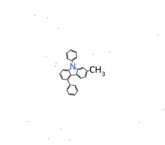 Cc1ccc2c3c(-c4ccccc4)cccc3n(-c3ccccc3)c2c1